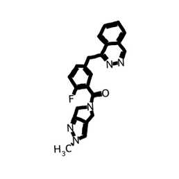 Cn1cc2c(n1)CN(C(=O)c1cc(Cc3nncc4ccccc34)ccc1F)C2